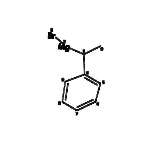 C[CH]([Mg][Br])c1ccccc1